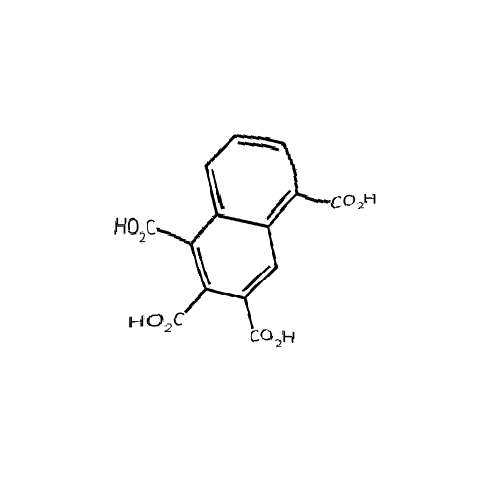 O=C(O)c1cc2c(C(=O)O)cccc2c(C(=O)O)c1C(=O)O